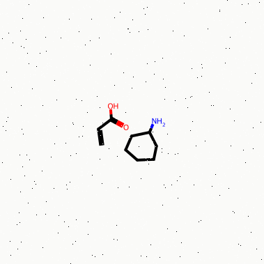 C=CC(=O)O.NC1CCCCC1